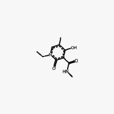 CCn1cc(C)c(O)c(C(=O)NC)c1=O